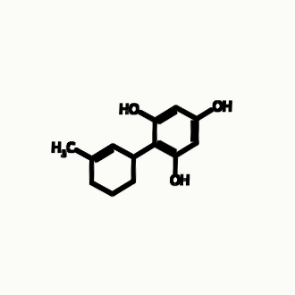 CC1=CC(c2c(O)cc(O)cc2O)CCC1